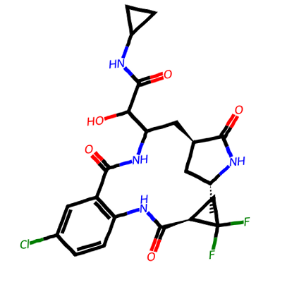 C[C@@H]1C[C@@H](CC(NC(=O)c2cc(Cl)ccc2NC(=O)[C@H]2CC2(F)F)C(O)C(=O)NC2CC2)C(=O)N1